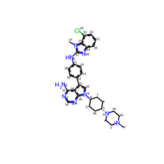 CN1CCN([C@H]2CC[C@H](n3cc(-c4ccc(Nc5nc6cccc(Cl)c6n5C)cc4)c4c(N)ncnc43)CC2)CC1